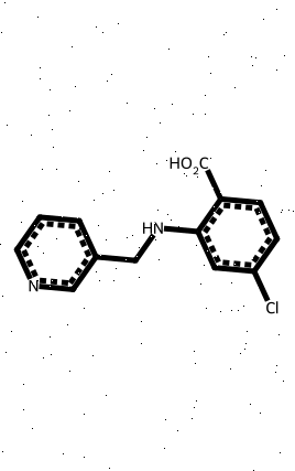 O=C(O)c1ccc(Cl)cc1NCc1cccnc1